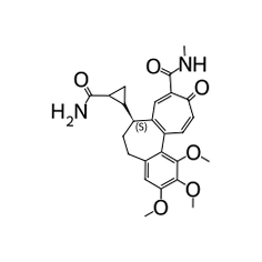 CNC(=O)c1cc2c(ccc1=O)-c1c(cc(OC)c(OC)c1OC)CC[C@H]2C1CC1C(N)=O